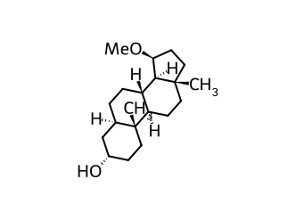 CO[C@H]1CC[C@]2(C)CC[C@@H]3[C@H](CC[C@@H]4C[C@@H](O)CC[C@]43C)[C@@H]12